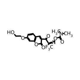 CN(C)C(=O)O/N=C(\C(=O)c1cc2ccc(OCCO)cc2oc1=O)C(F)(F)F